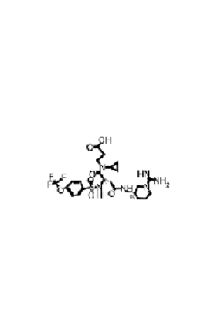 N=C(N)N1CCC[C@@H](CNC(=O)C[C@H](NS(=O)(=O)c2ccc(OC(F)(F)F)cc2)C(=O)N(CCC(=O)O)C2CC2)C1